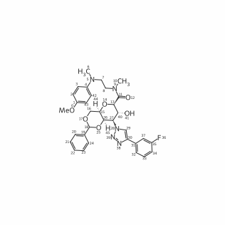 COc1ccc(N(C)CCN(C)C(=O)[C@@H]2O[C@@H]3COC(c4ccccc4)O[C@@H]3[C@H](n3cc(-c4cccc(F)c4)nn3)[C@H]2O)cc1